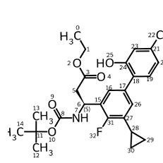 CCOC(=O)C[C@H](NC(=O)OC(C)(C)C)c1cc(-c2ccc(C)cc2O)cc(C2CC2)c1F